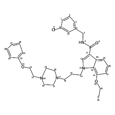 O=C(NCc1cccc(Cl)c1)c1cn(CCCN2CCN(CCOc3ccccc3)CC2)c2c(OCF)cccc12